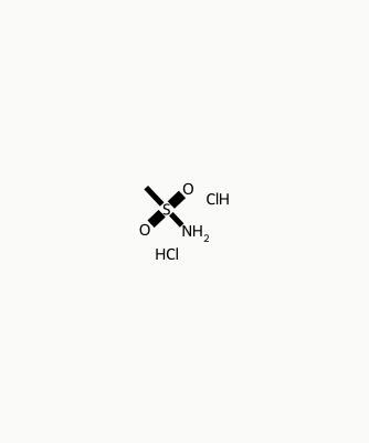 CS(N)(=O)=O.Cl.Cl